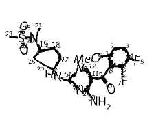 COc1ccc(F)c(F)c1C(=O)c1cnc(NC2CCC(N(C)S(C)(=O)=O)CC2)nc1N